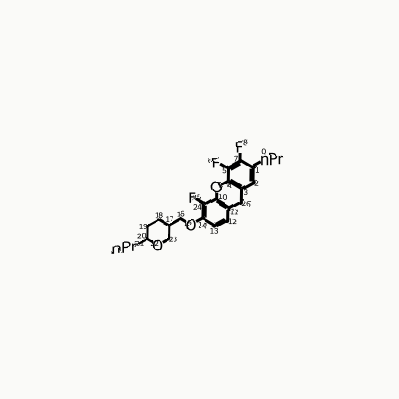 CCCc1cc2c(c(F)c1F)Oc1c(ccc(OCC3CCC(CCC)OC3)c1F)C2